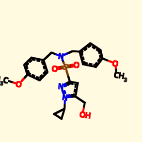 COc1ccc(CN(Cc2ccc(OC)cc2)S(=O)(=O)c2cc(CO)n(C3CC3)n2)cc1